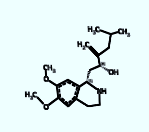 C=C(CC(C)C)[C@H](O)C[C@@H]1NCCc2cc(OC)c(OC)cc21